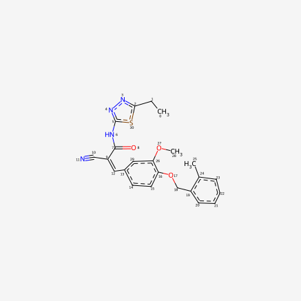 CCc1nnc(NC(=O)C(C#N)=Cc2ccc(OCc3ccccc3C)c(OC)c2)s1